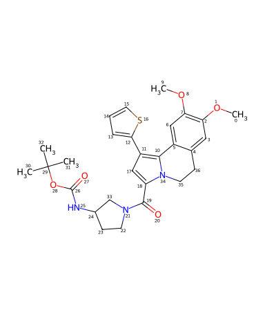 COc1cc2c(cc1OC)-c1c(-c3cccs3)cc(C(=O)N3CCC(NC(=O)OC(C)(C)C)C3)n1CC2